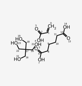 C=CC(=O)O.O=C(O)CCCCC(=O)O.OCC(CO)(CO)CO